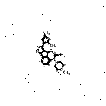 Cc1cc(C2=C3C(=O)c4c(cccc4N(C(N)=O)N4CCN(C)CC4)C3N=N2)c(C)s1